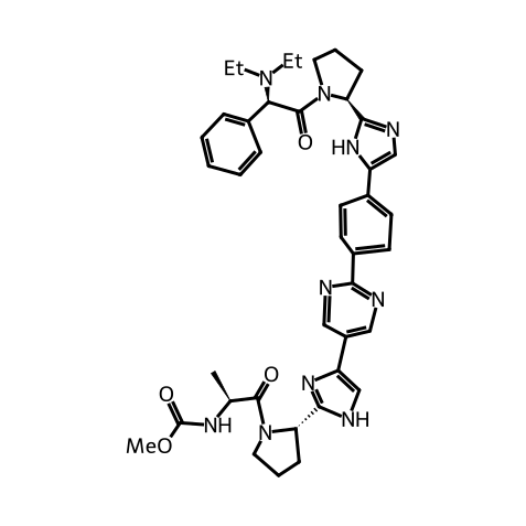 CCN(CC)[C@@H](C(=O)N1CCC[C@H]1c1ncc(-c2ccc(-c3ncc(-c4c[nH]c([C@@H]5CCCN5C(=O)[C@H](C)NC(=O)OC)n4)cn3)cc2)[nH]1)c1ccccc1